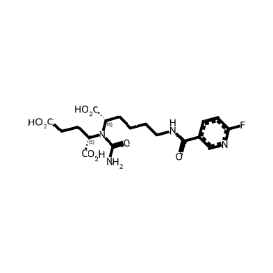 NC(=O)N([C@@H](CCCCNC(=O)c1ccc(F)nc1)C(=O)O)[C@@H](CCC(=O)O)C(=O)O